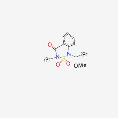 COC(C(C)C)N1c2ccccc2C(=O)N(C(C)C)S1(=O)=O